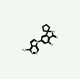 Nc1nncc2c1ccn2-c1cc(Cl)c2c(c1)C1(CCCC1)NC2=O